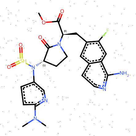 COC(=O)[C@@H](Cc1cc2ccnc(N)c2cc1F)N1CC[C@H](N(c2ccc(N(C)C)nc2)[SH](=O)=O)C1=O